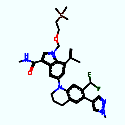 C=C(C)c1cc(N2CCCc3cc(-c4cnn(C)c4)c(C(F)F)cc32)cc2c(C(=O)NC)cn(COCCS(C)(C)C)c12